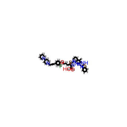 Cc1c(Nc2nc3ccccc3s2)nnc2c1CCCN2c1nc(C(=O)O)c(CCCOc2ccc(C#CCN3CCC(N4CCCCC4)CC3)cc2F)s1